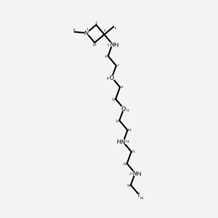 CN1CC(C)(NCCOCCOCCNCCNCI)C1